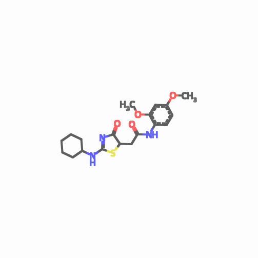 COc1ccc(NC(=O)CC2SC(NC3CCCCC3)=NC2=O)c(OC)c1